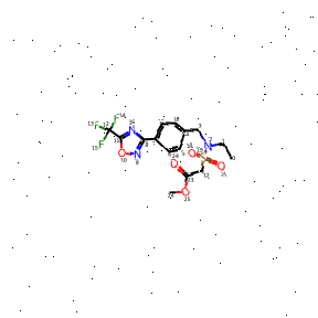 CCN(Cc1ccc(-c2noc(C(F)(F)F)n2)cc1)S(=O)(=O)CC(=O)OC